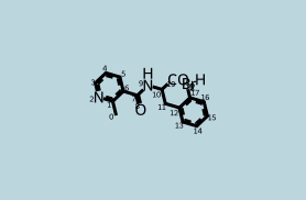 Cc1ncccc1C(=O)NC(Cc1ccccc1Br)C(=O)O